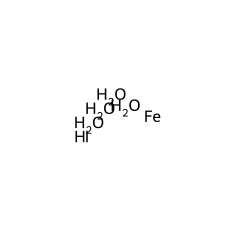 I.O.O.O.O.[Fe]